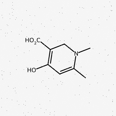 CC1=CC(O)=C(C(=O)O)CN1C